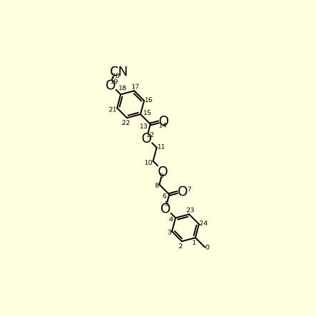 Cc1ccc(OC(=O)COCCOC(=O)c2ccc(OC#N)cc2)cc1